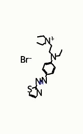 CCN(CC[N+](C)(CC)CC)c1ccc(/N=N/c2nccs2)cc1.[Br-]